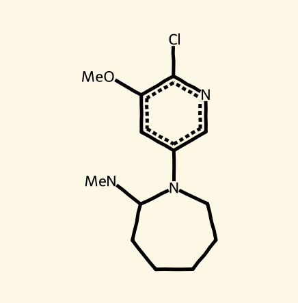 CNC1CCCCCN1c1cnc(Cl)c(OC)c1